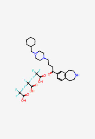 O=C(CCCN1CCN(CC2CCCCC2)CC1)c1ccc2c(c1)CCNCC2.O=C(O)C(F)(F)F.O=C(O)C(F)(F)F.O=C(O)C(F)(F)F